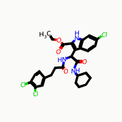 CCOC(=O)c1[nH]c2cc(Cl)ccc2c1C(NC(=O)CCc1ccc(Cl)c(Cl)c1)C(=O)NC1CCCCC1